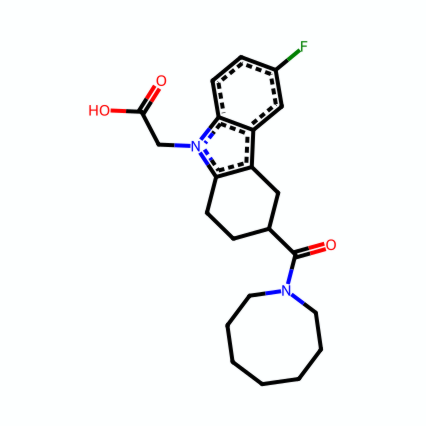 O=C(O)Cn1c2c(c3cc(F)ccc31)CC(C(=O)N1CCCCCCC1)CC2